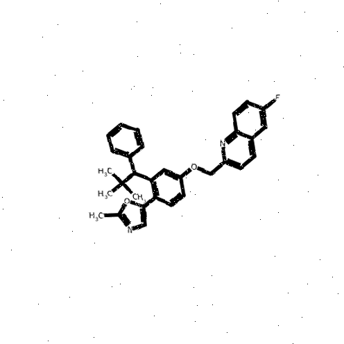 Cc1ncc(-c2ccc(OCc3ccc4cc(F)ccc4n3)cc2C(c2ccccc2)C(C)(C)C)o1